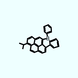 CC(C)c1ccc2cc3c4c(ccc5ccc1c2c54)-c1ccccc1B3c1ccccc1